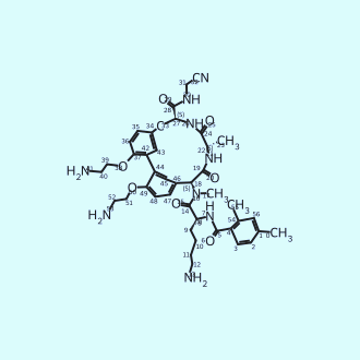 Cc1ccc(C(=O)N[C@@H](CCCCN)C(=O)N(C)[C@@H]2C(=O)N[C@@H](C)C(=O)N[C@H](C(=O)NCC#N)Cc3ccc(OCCN)c(c3)-c3cc2ccc3OCCN)c(C)c1